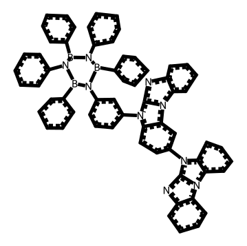 c1ccc(B2N(c3ccccc3)B(c3ccccc3)N(c3cccc(-n4c5ccc(-n6c7ccccc7n7c8ccccc8nc67)cc5n5c6ccccc6nc45)c3)B(c3ccccc3)N2c2ccccc2)cc1